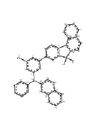 CC1(C)c2cc(-c3cc(Cl)cc(N(c4ccccc4)c4ccc5ccccc5c4)c3)ccc2-c2c1ccc1ccccc21